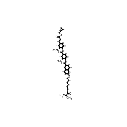 C=C(C)C(=O)OCCCCCCOc1ccc2cc(C(=O)Oc3ccc(C(=O)Oc4ccc(/C=C/C(=O)OCC5CC5)cc4OC)cc3C)ccc2c1